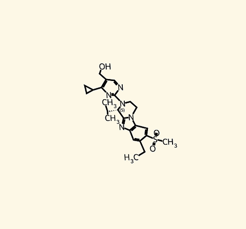 CCc1cc2nc3n(c2cc1S(C)(=O)=O)CCN(c1ncc(CO)c(C2CC2)n1)[C@H]3C(C)C